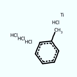 Cc1ccccc1.Cl.Cl.Cl.Cl.[Ti]